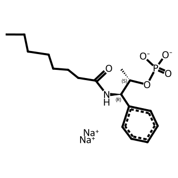 CCCCCCCC(=O)N[C@H](c1ccccc1)[C@H](C)OP(=O)([O-])[O-].[Na+].[Na+]